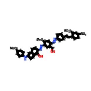 COc1ccc(Nc2ccc3c(O)c(N=Nc4cc(CO)c(N=Nc5ccc(C=Cc6ccc([N+](=O)[O-])cc6S(=O)(=O)O)cc5)cc4OC)ccc3c2)cc1